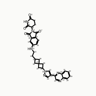 O=C1CCC(N2C(=O)c3ccc(NCCC4CC5(C4)CC(n4cc(-c6cnc7ccccc7n6)cn4)C5)cc3C2=O)C(=O)N1